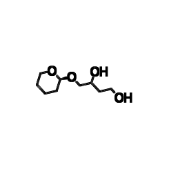 OCCC(O)CO[C@H]1CCCCO1